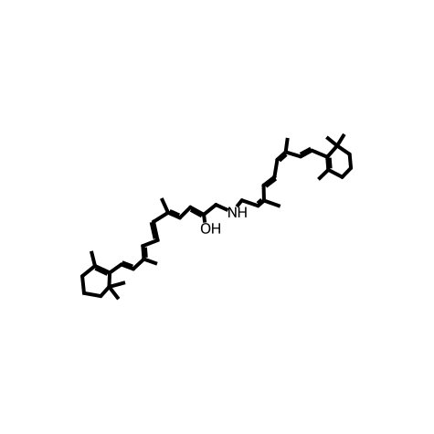 CC(C=CC1=C(C)CCCC1(C)C)=CC=CC(C)=CC=C(O)CNCC=C(C)C=CC=C(C)C=CC1=C(C)CCCC1(C)C